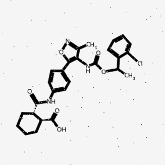 Cc1noc(-c2ccc(NC(=O)[C@H]3CCCC[C@@H]3C(=O)O)cc2)c1NC(=O)OC(C)c1ccccc1Cl